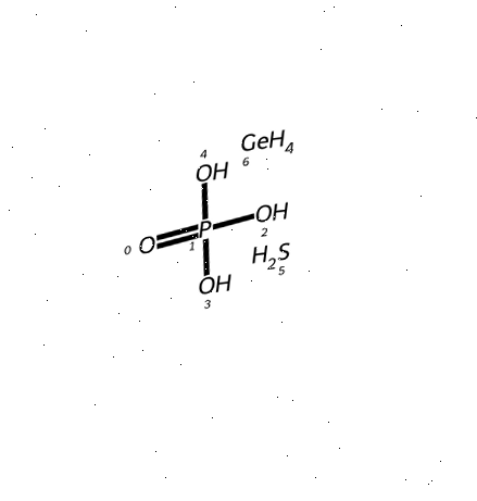 O=P(O)(O)O.S.[GeH4]